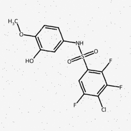 COc1ccc(NS(=O)(=O)c2cc(F)c(Cl)c(F)c2F)cc1O